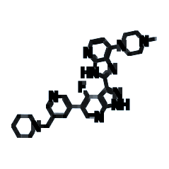 CN1CCN(c2ccnc3[nH]c(-c4n[nH]c5ncc(-c6cncc(CN7CCCCC7)c6)c(F)c45)nc23)CC1